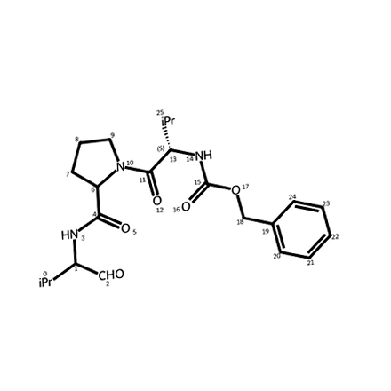 CC(C)C(C=O)NC(=O)C1CCCN1C(=O)[C@@H](NC(=O)OCc1ccccc1)C(C)C